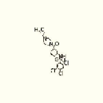 CCCN1CCCN(C(=O)c2cccc(NS(=O)(=O)c3cc(Cl)c(Cl)cc3Cl)c2)CC1